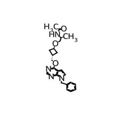 CC(=O)N[C@@H](C)CO[C@H]1C[C@H](COc2ncnc3c2ccn3Cc2ccccc2)C1